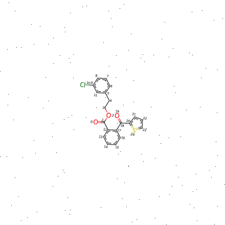 O=C(OCCc1cccc(Cl)c1)c1ccccc1C(=O)c1cccs1